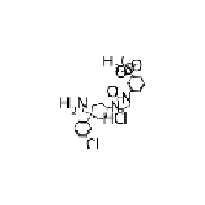 CS(=O)(=O)c1cccc(N2CCN(C3CCC(CN)(c4cccc(Cl)c4)CC3)C2=O)c1.Cl